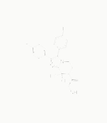 CC1(C)c2nc(-c3ccc(F)cc3)c(-c3ccc(F)cc3)n2CCC1C(=O)CN